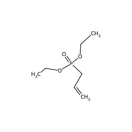 C=CCP(=O)(OCC)OCC